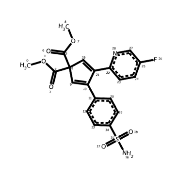 COC(=O)C1(C(=O)OC)C=C(c2ccc(S(N)(=O)=O)cc2)C(c2ccc(F)cn2)=C1